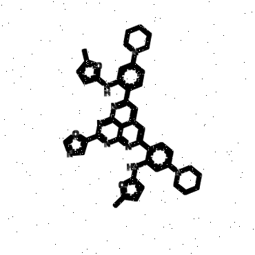 Cc1ccc(Nc2cc(N3CCCCC3)ccc2C2=CC3=CC(c4ccc(N5CCCCC5)cc4Nc4ccc(C)o4)=NC4=NC(c5cnco5)=NC(=N2)C34)o1